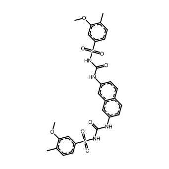 COc1cc(S(=O)(=O)NC(=O)Nc2ccc3ccc(NC(=O)NS(=O)(=O)c4ccc(C)c(OC)c4)cc3c2)ccc1C